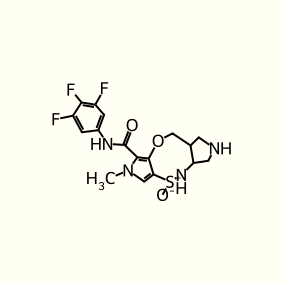 Cn1cc2c(c1C(=O)Nc1cc(F)c(F)c(F)c1)OCC1CNCC1N[S+]2[O-]